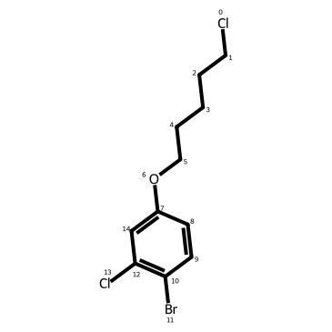 ClCCCCCOc1ccc(Br)c(Cl)c1